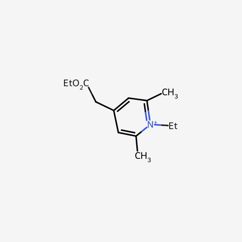 CCOC(=O)Cc1cc(C)[n+](CC)c(C)c1